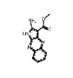 COC(=O)c1c(N)[nH]c2nc3ccccc3nc12